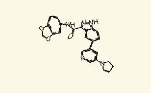 O=C(Nc1ccc2c(c1)OCO2)c1n[nH]c2ccc(-c3cncc(N4CCCC4)c3)cc12